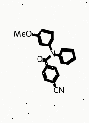 COc1cccc(N(C(=O)c2ccc(C#N)cc2)c2ccccc2)c1